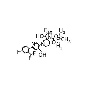 CC(C)(C)OC(=O)NC1(C(O)C(F)F)CCCN(c2cnc(-c3ccc(F)cc3C(F)F)cc2CO)C1